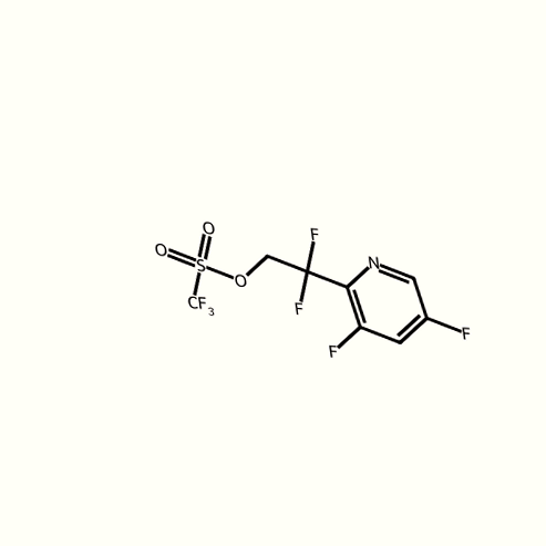 O=S(=O)(OCC(F)(F)c1ncc(F)cc1F)C(F)(F)F